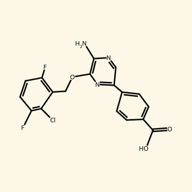 Nc1ncc(-c2ccc(C(=O)O)cc2)nc1OCc1c(F)ccc(F)c1Cl